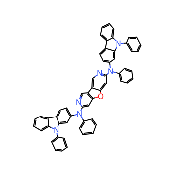 c1ccc(N(c2ccc3c4ccccc4n(-c4ccccc4)c3c2)c2cc3oc4cc(N(c5ccccc5)c5ccc6c7ccccc7n(-c7ccccc7)c6c5)ncc4c3cn2)cc1